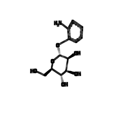 Nc1ccccc1O[C@H]1O[C@H](CO)[C@@H](O)[C@H](O)[C@@H]1O